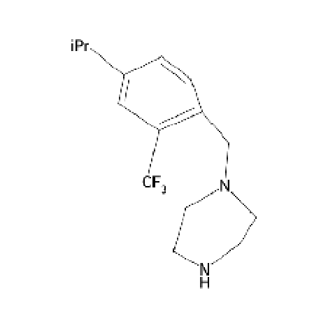 CC(C)c1ccc(CN2CCNCC2)c(C(F)(F)F)c1